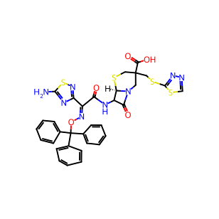 Nc1nc(C(=NOC(c2ccccc2)(c2ccccc2)c2ccccc2)C(=O)NC2C(=O)N3CC(CSc4nncs4)(C(=O)O)CS[C@H]23)ns1